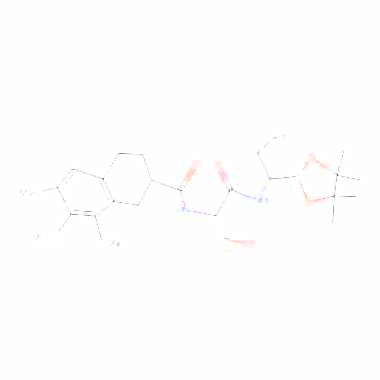 COc1cc2c(c(OC)c1OC)CC(C(=O)N[C@@H](CO)C(=O)NC(CC(C)C)B1OC(C)(C)C(C)(C)O1)CC2